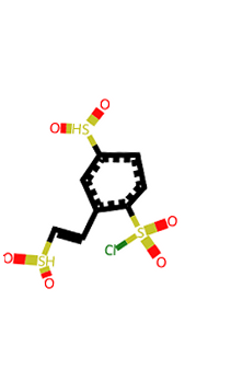 O=[SH](=O)C=Cc1cc([SH](=O)=O)ccc1S(=O)(=O)Cl